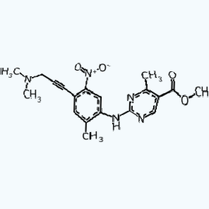 COC(=O)c1cnc(Nc2cc([N+](=O)[O-])c(C#CCN(C)C)cc2C)nc1C